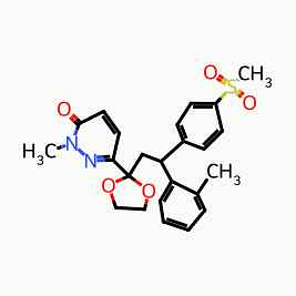 Cc1ccccc1C(CC1(c2ccc(=O)n(C)n2)OCCO1)c1ccc(S(C)(=O)=O)cc1